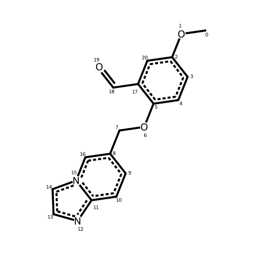 COc1ccc(OCc2ccc3nccn3c2)c(C=O)c1